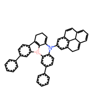 C1=CC2=CCc3cc(N4C5=CCCC6=C5B(c5cc(-c7ccccc7)ccc56)c5cc(-c6ccccc6)ccc54)cc4c3C2C(=C1)C=C4